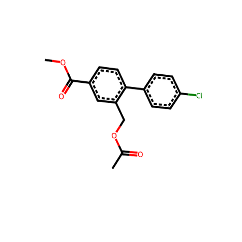 COC(=O)c1ccc(-c2ccc(Cl)cc2)c(COC(C)=O)c1